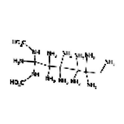 NCC(N)(N)C(N)(N)C(N)(N)C(N)(N)C(N)(NC(=O)O)NC(=O)O